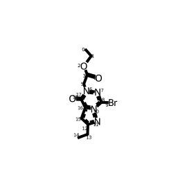 CCOC(=O)Cn1nc(Br)n2nc(CC)cc2c1=O